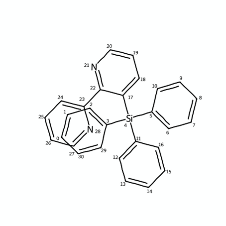 c1ccc([Si](c2ccccc2)(c2ccccc2)c2cccnc2-c2ccccn2)cc1